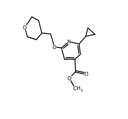 COC(=O)c1cc(OCC2CCOCC2)nc(C2CC2)c1